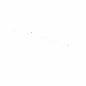 CCCNC/C=C/CC(C)C